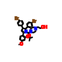 COc1ccc(C2=CC(c3ccc(Br)cc3)C(c3ccc(Br)cc3)N2C(=O)N2CCN(CCO)CC2)c(OC(C)C)c1